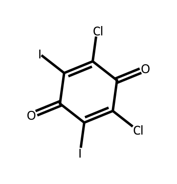 O=C1C(Cl)=C(I)C(=O)C(I)=C1Cl